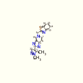 Cc1c(-c2nc3ccn(Cc4nc5ccccc5s4)cc-3n2)cnn1C